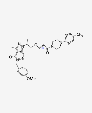 COc1ccc(Cn2ncc3c(c(C)nn3C(C)CO/C=C/C(=O)N3CCN(c4ncc(C(F)(F)F)cn4)CC3)c2=O)cc1